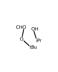 CC(C)(C)OC=O.CC(C)O